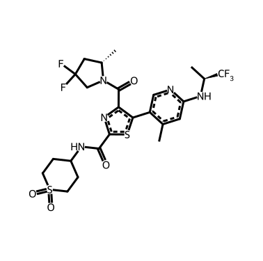 Cc1cc(N[C@@H](C)C(F)(F)F)ncc1-c1sc(C(=O)NC2CCS(=O)(=O)CC2)nc1C(=O)N1CC(F)(F)C[C@@H]1C